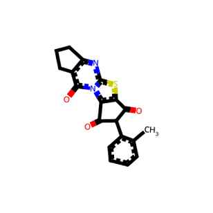 Cc1ccccc1C1C(=O)c2sc3nc4c(c(=O)n3c2C1=O)CCC4